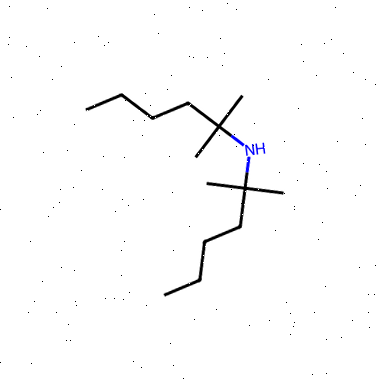 CCCCC(C)(C)NC(C)(C)CCCC